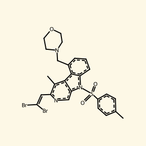 Cc1ccc(S(=O)(=O)n2c3cccc(CN4CCOCC4)c3c3c(C)c(C=C(Br)Br)ncc32)cc1